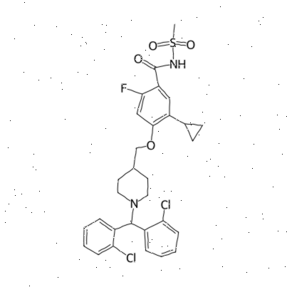 CS(=O)(=O)NC(=O)c1cc(C2CC2)c(OCC2CCN(C(c3ccccc3Cl)c3ccccc3Cl)CC2)cc1F